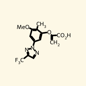 C=C(Oc1cc(-n2ncc(C(F)(F)F)n2)cc(OC)c1C)C(=O)O